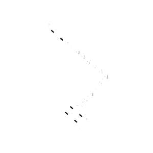 N.N.N.N.N.N.N.N.N.N.N.N.[Co].[OH][Co][OH].[OH][Co][OH].[OH][Co][OH]